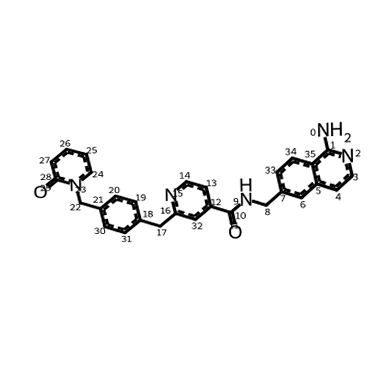 Nc1nccc2cc(CNC(=O)c3ccnc(Cc4ccc(Cn5ccccc5=O)cc4)c3)ccc12